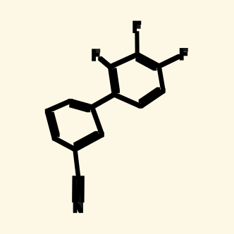 N#Cc1cccc(-c2ccc(F)c(F)c2F)c1